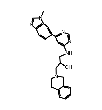 Cn1cnc2ccc(-c3cc(NCC(O)CN4CCc5ccccc5C4)ncn3)cc21